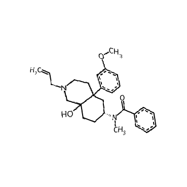 C=CCN1CCC2(c3cccc(OC)c3)C[C@H](N(C)C(=O)c3ccccc3)CCC2(O)C1